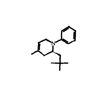 CC1=CCN(c2ccccc2)[C@@H](CC(C)(C)C)C1